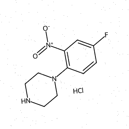 Cl.O=[N+]([O-])c1cc(F)ccc1N1CCNCC1